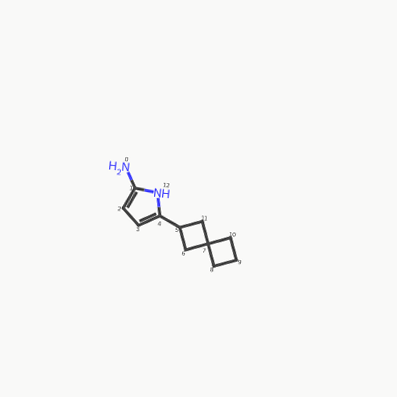 Nc1ccc(C2CC3(CCC3)C2)[nH]1